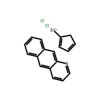 [Cl-].[Cl-].[Zr+2][C]1=CC=CC1.b1cccc2cc3ccccc3cc12